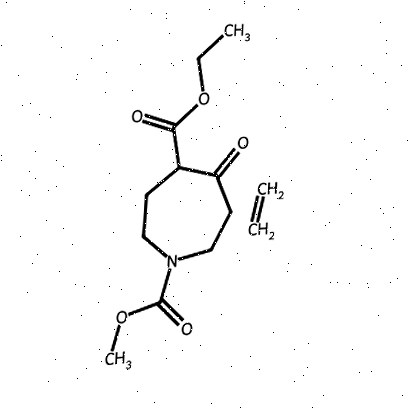 C=C.CCOC(=O)C1CCN(C(=O)OC)CCC1=O